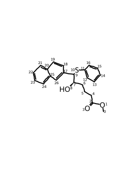 COC(=O)CCC[C@@H](O)[C@@H](Sc1ccccc1)c1ccc2ccccc2c1